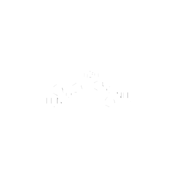 CCCCC(c1ccc(Oc2ccccc2N)cc1)c1ccc(Oc2ccccc2N)cc1